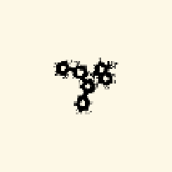 Brc1ccc(-n2c3c(c4cc(-c5ccccc5)ccc42)CC(c2ccccc2)C=C3)c2ccccc12